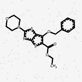 CCOC(=O)c1sc2nc(N3CCOCC3)sc2c1OCc1ccccc1